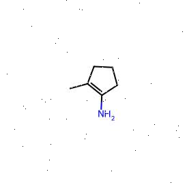 CC1=C(N)CCC1